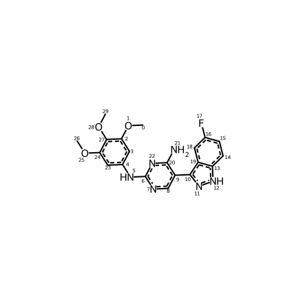 COc1cc(Nc2ncc(-c3n[nH]c4ccc(F)cc34)c(N)n2)cc(OC)c1OC